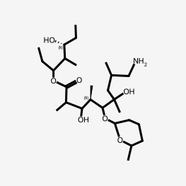 CCC(OC(=O)C(C)C(O)[C@@H](C)C(OC1CCCC(C)O1)C(C)(O)CC(C)CN)C(C)[C@H](O)CC